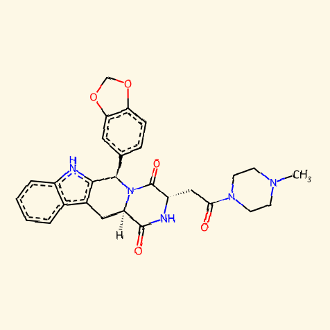 CN1CCN(C(=O)C[C@@H]2NC(=O)[C@H]3Cc4c([nH]c5ccccc45)[C@@H](c4ccc5c(c4)OCO5)N3C2=O)CC1